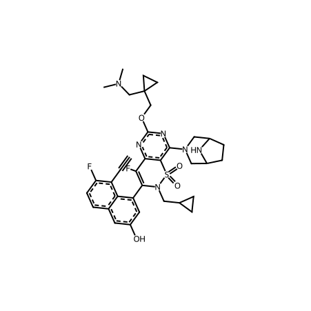 C#Cc1c(F)ccc2cc(O)cc(C3=C(F)c4nc(OCC5(CN(C)C)CC5)nc(N5CC6CCC(C5)N6)c4S(=O)(=O)N3CC3CC3)c12